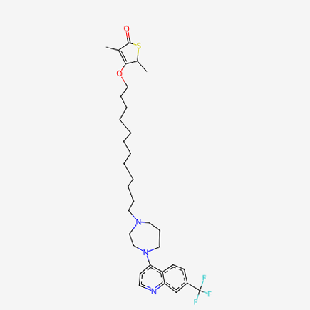 CC1=C(OCCCCCCCCCCCCN2CCCN(c3ccnc4cc(C(F)(F)F)ccc34)CC2)C(C)SC1=O